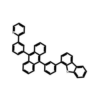 c1ccc(-c2cccc(-c3c4ccccc4c(-c4cccc(-c5cccc6c5oc5ccccc56)c4)c4ccccc34)c2)nc1